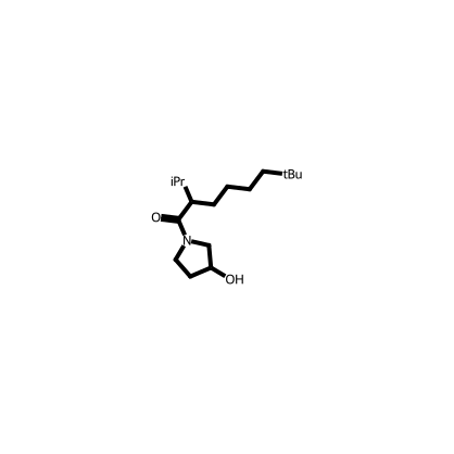 CC(C)C(CCCCC(C)(C)C)C(=O)N1CCC(O)C1